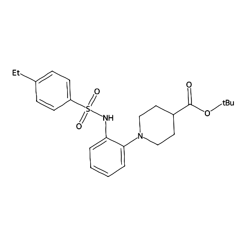 CCc1ccc(S(=O)(=O)Nc2ccccc2N2CCC(C(=O)OC(C)(C)C)CC2)cc1